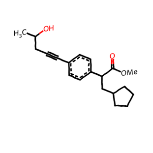 COC(=O)C(CC1CCCC1)c1ccc(C#CCC(C)O)cc1